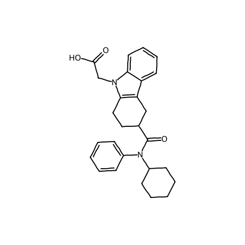 O=C(O)Cn1c2c(c3ccccc31)CC(C(=O)N(c1ccccc1)C1CCCCC1)CC2